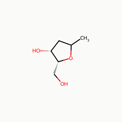 CC1C[C@@H](O)[C@@H](CO)O1